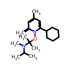 C=C1C=C(C)C=C(C2CCCCC2)N1OC(C)(C)N(C)C(C)C